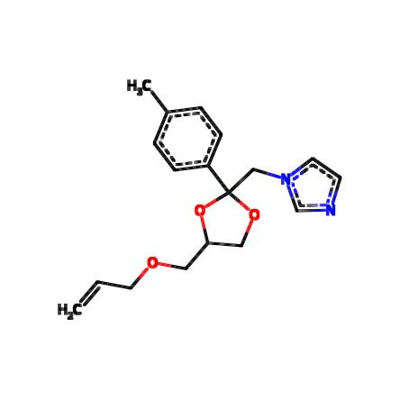 C=CCOCC1COC(Cn2ccnc2)(c2ccc(C)cc2)O1